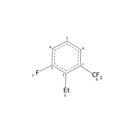 [CH2]Cc1c(F)cccc1C(F)(F)F